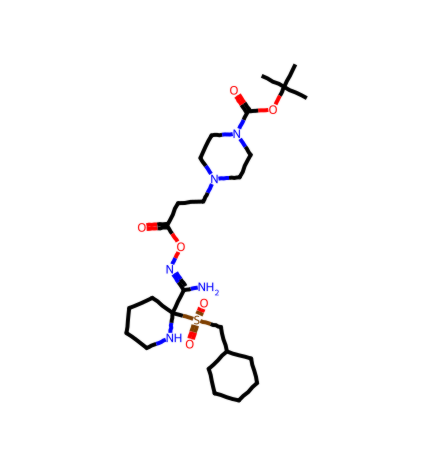 CC(C)(C)OC(=O)N1CCN(CCC(=O)O/N=C(\N)C2(S(=O)(=O)CC3CCCCC3)CCCCN2)CC1